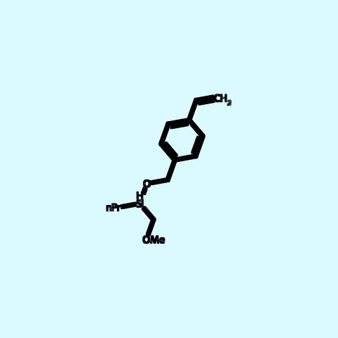 C=Cc1ccc(CO[SiH](CCC)COC)cc1